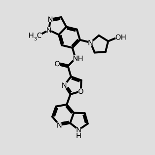 Cn1ncc2cc(N3CCC(O)C3)c(NC(=O)c3coc(-c4ccnc5[nH]ccc45)n3)cc21